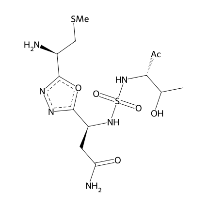 CSC[C@H](N)c1nnc([C@H](CC(N)=O)NS(=O)(=O)N[C@H](C(C)=O)C(C)O)o1